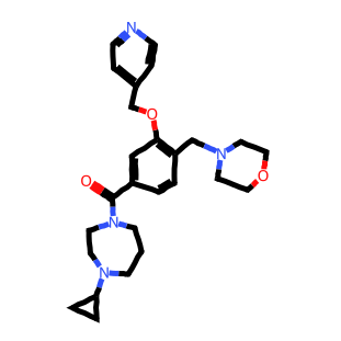 O=C(c1ccc(CN2CCOCC2)c(OCc2ccncc2)c1)N1CCCN(C2CC2)CC1